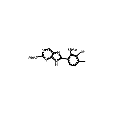 COc1ncc2nc(-c3ccc(C)c(S)c3OC)[nH]c2n1